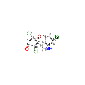 O=C1C=C(Cl)C(=O)C(c2c[nH]c3cc(Br)ccc23)=C1Cl